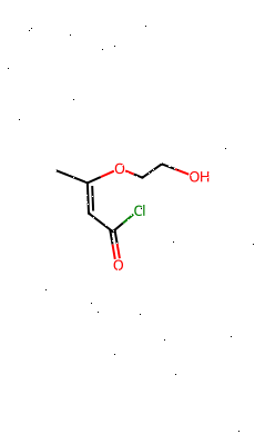 CC(=CC(=O)Cl)OCCO